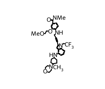 CNC(=O)c1ccc(NCC#Cc2cc3c(NC4CCC(C)(N5CCOCC5)CC4)cccc3n2CC(F)(F)F)c(OCCOC)c1